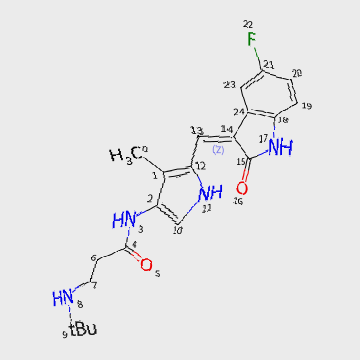 Cc1c(NC(=O)CCNC(C)(C)C)c[nH]c1/C=C1\C(=O)Nc2ccc(F)cc21